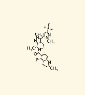 Cc1ccc2c(F)c(C(=O)N3CCc4c(nn(C)c4-c4cc(C(F)(F)F)nn4C)C3C)ccc2n1